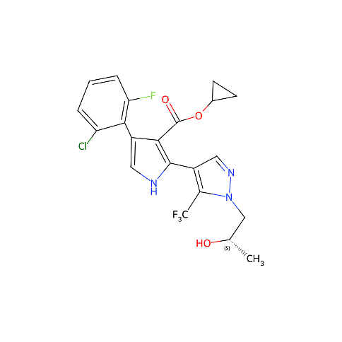 C[C@H](O)Cn1ncc(-c2[nH]cc(-c3c(F)cccc3Cl)c2C(=O)OC2CC2)c1C(F)(F)F